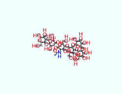 CC(=O)N[C@H]1[C@H](O[C@H]2[C@@H](O)[C@@H](CO)O[C@@H](O[C@H]3[C@H](O)[C@@H](O)[C@H](O)O[C@@H]3CO)[C@@H]2O)O[C@H](CO)[C@@H](O[C@@H]2O[C@H](CO)[C@H](O)[C@H](O[C@H]3O[C@H](CO)[C@H](O)[C@H](O)[C@H]3O)[C@H]2O[C@@H]2O[C@@H](C)[C@@H](O)[C@@H](O)[C@@H]2O)[C@@H]1O